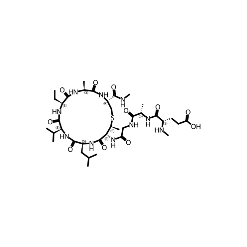 CC[C@@H]1NC(=O)[C@H](C(C)C)NC(=O)[C@H](CC(C)C)NC(=O)[C@@H](NC(=O)CNC(=O)[C@H](C)NC(=O)[C@H](CCC(=O)O)NC)[C@H](C)SC[C@@H](C(=O)NC)NC(=O)[C@H](C)NC1=O